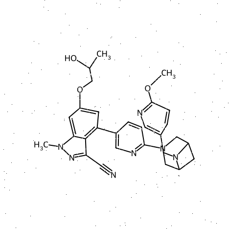 COc1ccc(CN2C3CC2CN(c2ccc(-c4cc(OCC(C)O)cc5c4c(C#N)nn5C)cn2)C3)cn1